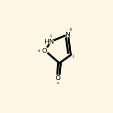 O=c1[c]n[nH]o1